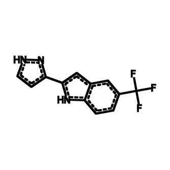 FC(F)(F)c1ccc2[nH]c(-c3cc[nH]n3)cc2c1